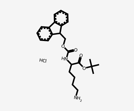 CC(C)(C)OC(=O)C(CCCCN)NC(=O)OCC1c2ccccc2-c2ccccc21.Cl